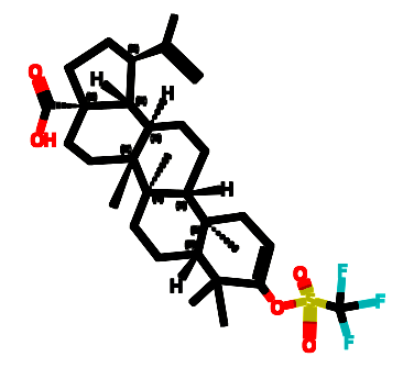 C=C(C)[C@@H]1CC[C@]2(C(=O)O)CC[C@]3(C)[C@H](CC[C@@H]4[C@@]5(C)CC=C(OS(=O)(=O)C(F)(F)F)C(C)(C)[C@@H]5CC[C@]43C)[C@@H]12